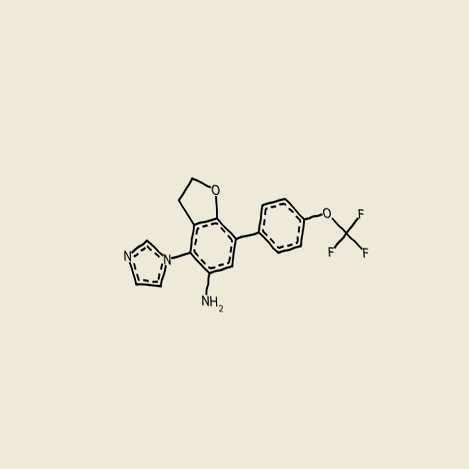 Nc1cc(-c2ccc(OC(F)(F)F)cc2)c2c(c1-n1ccnc1)CCO2